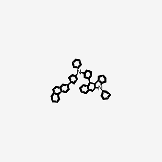 C1=c2ccccc2=C(c2cccc(N(c3ccccc3)c3ccc(-c4ccc5c(ccc6ccccc65)c4)cc3)c2)C2c3ccccc3N(c3ccccc3)C12